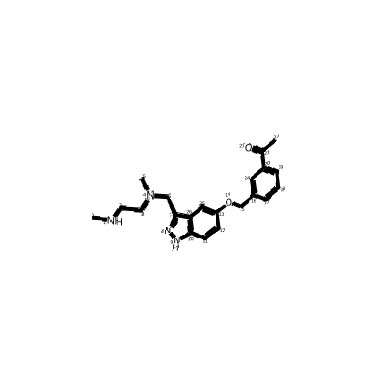 CNCCN(C)Cc1n[nH]c2ccc(OCc3cccc(C(C)=O)c3)cc12